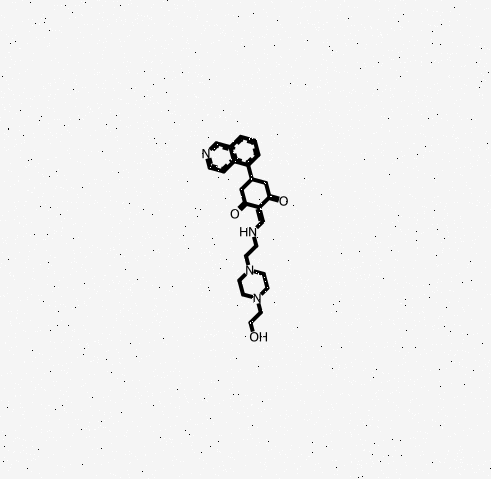 O=C1CC(c2cccc3cnccc23)CC(=O)C1=CNCCN1CCN(CCO)CC1